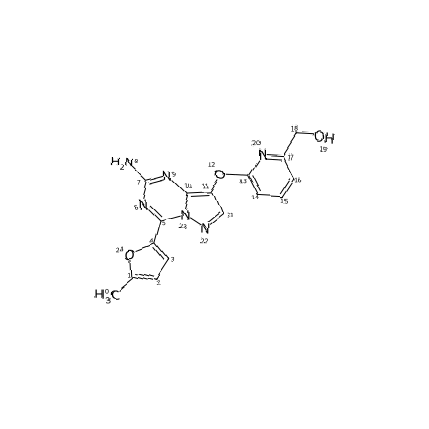 Cc1ccc(-c2nc(N)nc3c(Oc4cccc(CO)n4)cnn23)o1